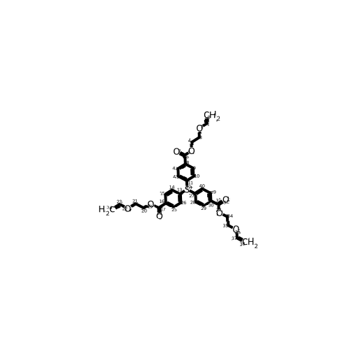 C=COCCOC(=O)c1ccc([S+](c2ccc(C(=O)OCCOC=C)cc2)c2ccc(C(=O)OCCOC=C)cc2)cc1